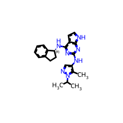 Cc1c(Nc2nc(N[C@@H]3CCc4ccccc43)c3cc[nH]c3n2)cnn1C(C)C